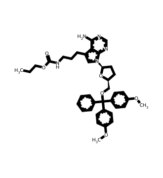 CCCOC(=O)NCCCc1cn([C@H]2CC[C@@H](COC(c3ccccc3)(c3ccc(OC)cc3)c3ccc(OC)cc3)O2)c2ncnc(N)c12